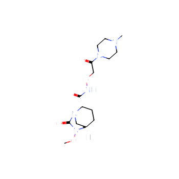 CON1C(=O)N2C[C@H]1CC[C@H]2C(=O)NOCC(=O)N1CCN(C)CC1